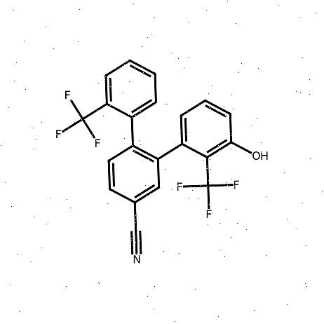 N#Cc1ccc(-c2ccccc2C(F)(F)F)c(-c2cccc(O)c2C(F)(F)F)c1